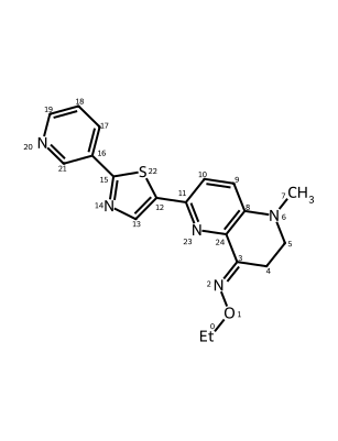 CCO/N=C1\CCN(C)c2ccc(-c3cnc(-c4cccnc4)s3)nc21